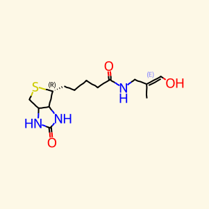 C/C(=C\O)CNC(=O)CCCC[C@H]1SCC2NC(=O)NC21